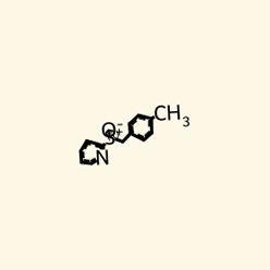 Cc1ccc(C[S@+]([O-])c2ccccn2)cc1